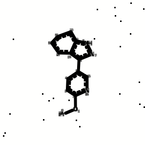 CC(C)Oc1ccc(-c2n[nH]c3ccccc23)cn1